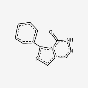 O=c1[nH]ncc2cnc(-c3ccccc3)n12